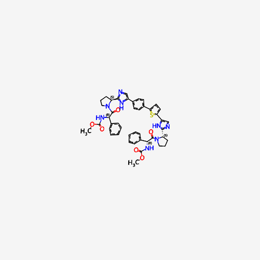 COC(=O)N[C@@H](C(=O)N1CCC[C@H]1c1ncc(-c2ccc(-c3ccc(-c4cnc([C@@H]5CCCN5C(=O)[C@H](NC(=O)OC)c5ccccc5)[nH]4)s3)cc2)[nH]1)c1ccccc1